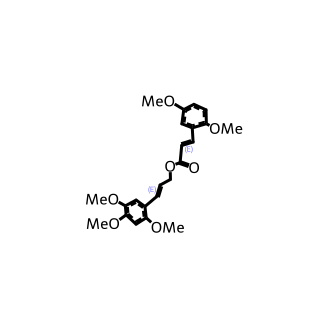 COc1ccc(OC)c(/C=C/C(=O)OC/C=C/c2cc(OC)c(OC)cc2OC)c1